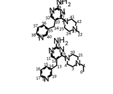 CCN1CCN(c2nc(N)ncc2Cc2cccnc2)CC1.CN1CCN(c2nc(N)ncc2Cc2cccnc2)CC1